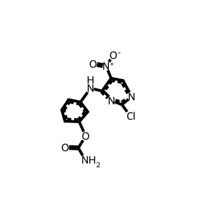 NC(=O)Oc1cccc(Nc2nc(Cl)ncc2[N+](=O)[O-])c1